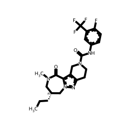 CCC[C@@H]1CN(C)C(=O)c2c3c(nn2C1)CCN(C(=O)Nc1ccc(F)c(C(F)(F)F)c1)C3